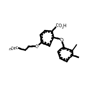 CCCCCCCCCCCCOc1ccc(C(=O)O)c(Oc2cccc(C)c2C)c1